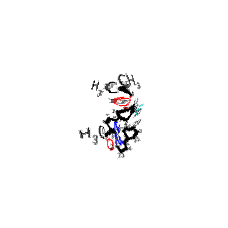 CC(=O)c1ccc(-c2cc(F)cc(OCC(C)C)c2)nc1N1CCCC1c1ccccc1